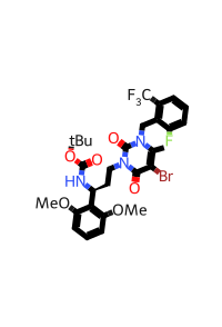 COc1cccc(OC)c1[C@H](CCn1c(=O)c(Br)c(C)n(Cc2c(F)cccc2C(F)(F)F)c1=O)NC(=O)OC(C)(C)C